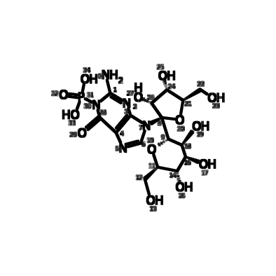 Nc1nc2c(ncn2[C@]2([C@H]3O[C@H](CO)[C@@H](O)[C@H](O)[C@@H]3O)O[C@H](CO)[C@@H](O)[C@H]2O)c(=O)n1P(=O)(O)O